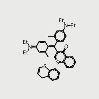 C1=CSc2ccccc2C1.CCN(CC)c1ccc(/C(=C2\C=CC(=[N+](CC)CC)C=C2C)c2csc3ccccc3c2=O)c(C)c1